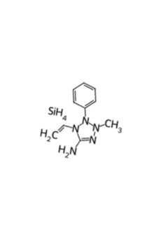 C=CN1C(N)=NN(C)N1c1ccccc1.[SiH4]